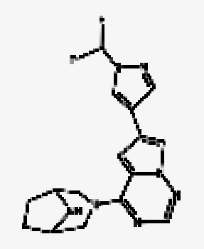 FC(F)n1cc(-c2cc3c(N4CC5CCC(C4)N5)ncnn3c2)cn1